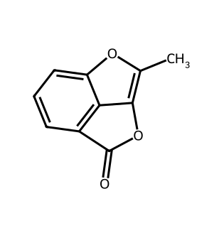 Cc1oc2cccc3c2c1OC3=O